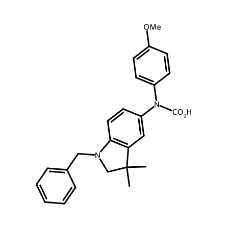 COc1ccc(N(C(=O)O)c2ccc3c(c2)C(C)(C)CN3Cc2ccccc2)cc1